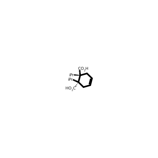 CC(C)[C@@]1(C(=O)O)CC=CC[C@@]1(C(=O)O)C(C)C